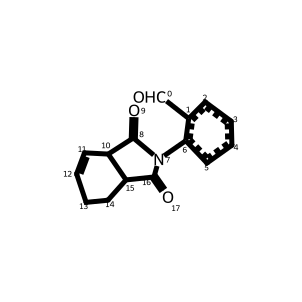 O=Cc1ccccc1N1C(=O)C2C=CCCC2C1=O